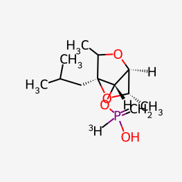 [3H]P(=C)(O)O[C@H]1[C@H]2OC(C)[C@]1(CC(C)C)O[C@H]2C